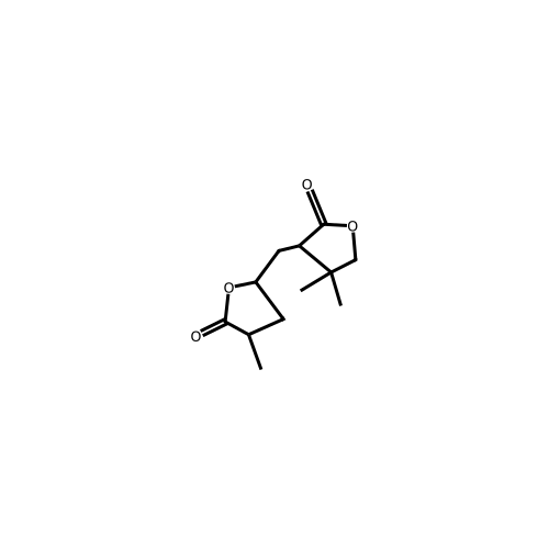 CC1CC(CC2C(=O)OCC2(C)C)OC1=O